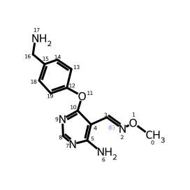 CO/N=C/c1c(N)ncnc1Oc1ccc(CN)cc1